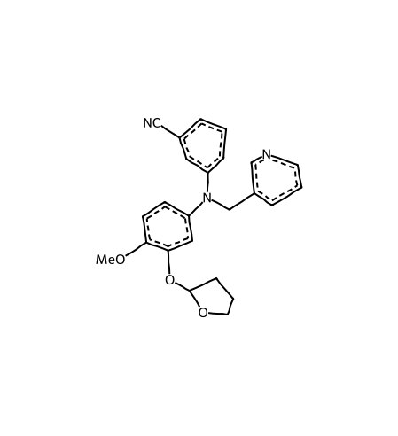 COc1ccc(N(Cc2cccnc2)c2cccc(C#N)c2)cc1OC1CCCO1